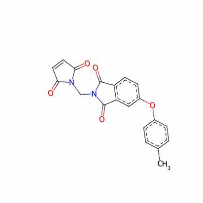 Cc1ccc(Oc2ccc3c(c2)C(=O)N(CN2C(=O)C=CC2=O)C3=O)cc1